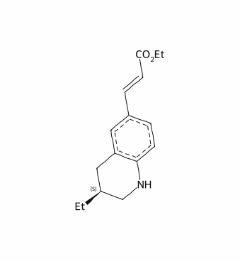 CCOC(=O)C=Cc1ccc2c(c1)C[C@H](CC)CN2